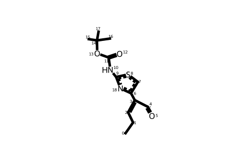 CC/C=C(\[C]=O)c1csc(NC(=O)OC(C)(C)C)n1